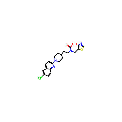 O=C(O)N(CCC1CCN(c2ccc3cc(Cl)ccc3n2)CC1)Cc1cncs1